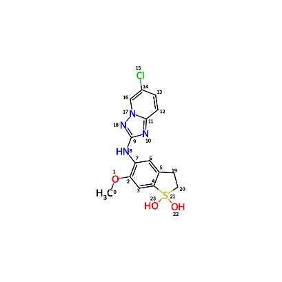 COc1cc2c(cc1Nc1nc3ccc(Cl)cn3n1)CCS2(O)O